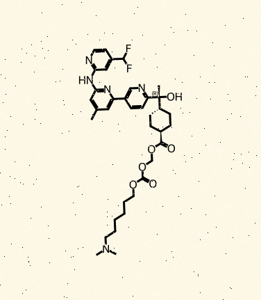 Cc1cc(Nc2cc(C(F)F)ccn2)nc(-c2ccc([C@](C)(O)[C@H]3CC[C@H](C(=O)OCOC(=O)OCCCCCCN(C)C)CC3)nc2)c1